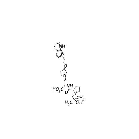 CC(C)(O)CN1CCC[C@H]1C(=O)N[C@@H](CCN1CC[C@@H](OCCc2ccc3c(n2)NCCC3)C1)C(=O)O